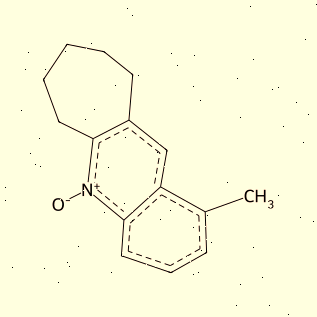 Cc1cccc2c1cc1c([n+]2[O-])CCCCC1